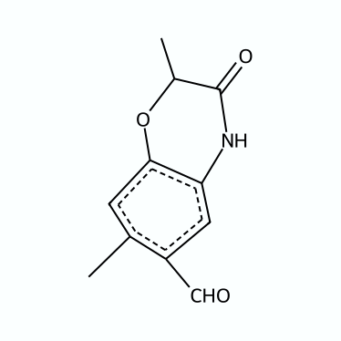 Cc1cc2c(cc1C=O)NC(=O)C(C)O2